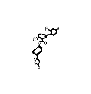 O=C(Oc1ccc(-c2cc(=S)ss2)cc1)c1cc(-c2ccc(F)cc2F)ccc1O